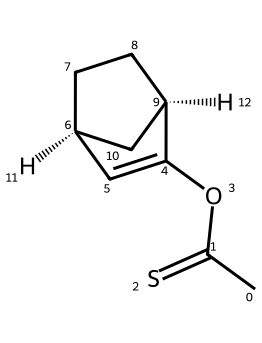 CC(=S)OC1=C[C@H]2CC[C@@H]1C2